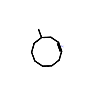 CC1C/C=C\CCCCCC1